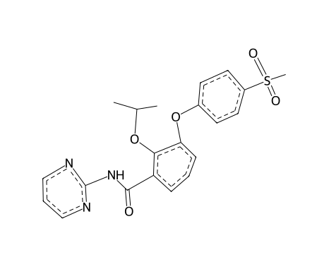 CC(C)Oc1c(Oc2ccc(S(C)(=O)=O)cc2)cccc1C(=O)Nc1ncccn1